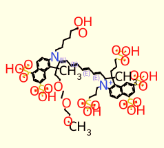 COCCOCCOCCC1(C)\C(=C/C=C/C=C/C=C/C2=[N+](CCCS(=O)(=O)O)c3ccc4c(S(=O)(=O)O)cc(S(=O)(=O)O)cc4c3C2(C)CCCS(=O)(=O)O)N(CCCCCC(=O)O)c2ccc3c(S(=O)(=O)O)cc(S(=O)(=O)O)cc3c21